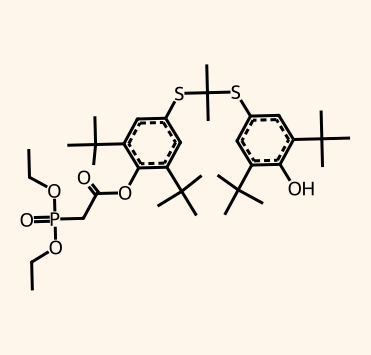 CCOP(=O)(CC(=O)Oc1c(C(C)(C)C)cc(SC(C)(C)Sc2cc(C(C)(C)C)c(O)c(C(C)(C)C)c2)cc1C(C)(C)C)OCC